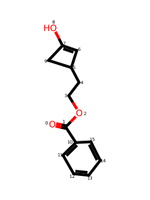 O=C(OCCC1C=C(O)C1)c1ccccc1